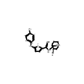 O=C(N[C@H]1CN2CCC1CC2)c1ccc(Sc2ccc(F)cc2)o1